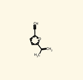 C#Cc1ccc(C(=C)C)o1